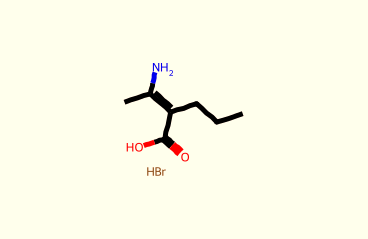 Br.CCCC(C(=O)O)=C(C)N